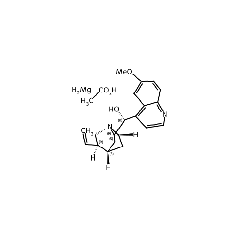 C=C[C@H]1C[N@]2CC[C@H]1C[C@H]2[C@H](O)c1ccnc2ccc(OC)cc12.CC(=O)O.[MgH2]